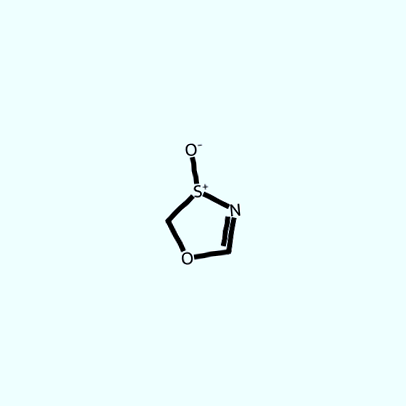 [O-][S+]1COC=N1